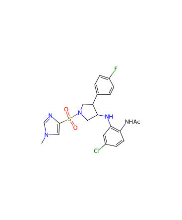 CC(=O)Nc1ccc(Cl)cc1NC1CN(S(=O)(=O)c2cn(C)cn2)CC1c1ccc(F)cc1